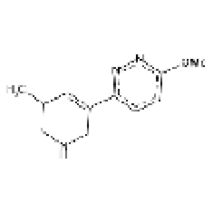 COc1ccc(C2=CC(C)CNC2)nn1